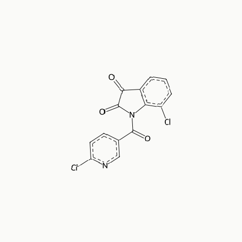 O=C1C(=O)N(C(=O)c2ccc(Cl)nc2)c2c(Cl)cccc21